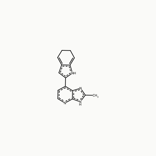 Cc1nc2c(-c3cc4c([nH]3)=CCCC=4)ccnc2[nH]1